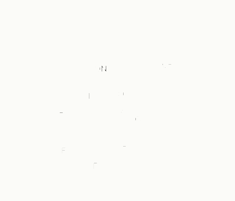 O=Nc1cccc(C(F)(F)F)c1COC(=O)c1c(F)c(F)c(F)c(F)c1F